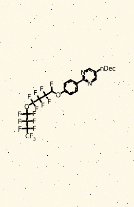 CCCCCCCCCCc1cnc(-c2ccc(OC(F)C(F)(F)C(F)(F)C(F)(F)OC(F)(F)C(F)(F)C(F)(F)C(F)(F)F)cc2)nc1